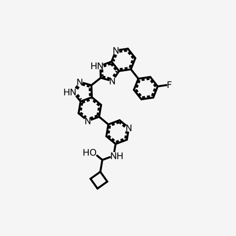 OC(Nc1cncc(-c2cc3c(-c4nc5c(-c6cccc(F)c6)ccnc5[nH]4)n[nH]c3cn2)c1)C1CCC1